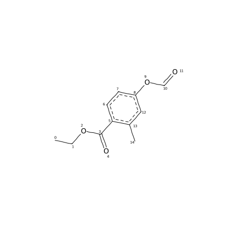 CCOC(=O)c1ccc(OC=O)cc1C